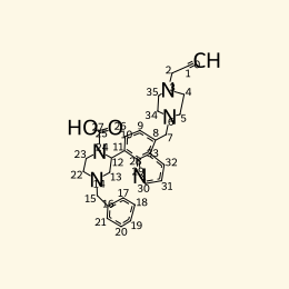 C#CCN1CCN(Cc2ccc(C3CN(Cc4ccccc4)CCN3C(=O)O)c3ncccc23)CC1